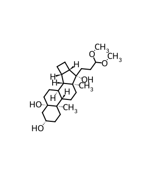 COC(CC[C@]1(O)[C@H]2CC[C@H]2[C@H]2[C@@H]3CC[C@]4(O)C[C@@H](O)CC[C@]4(C)[C@H]3CC[C@@]21C)OC